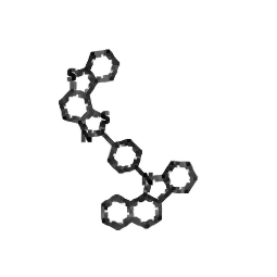 c1ccc2c(c1)ccc1c3ccccc3n(-c3ccc(-c4nc5ccc6sc7ccccc7c6c5s4)cc3)c21